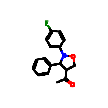 CC(=O)C1CON(c2ccc(F)cc2)C1c1ccccc1